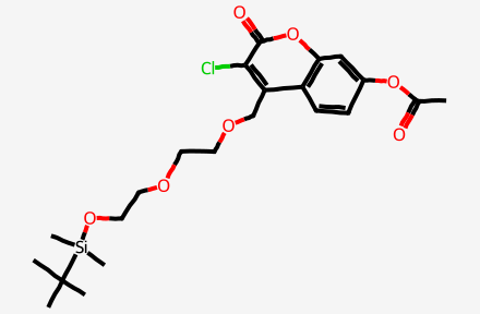 CC(=O)Oc1ccc2c(COCCOCCO[Si](C)(C)C(C)(C)C)c(Cl)c(=O)oc2c1